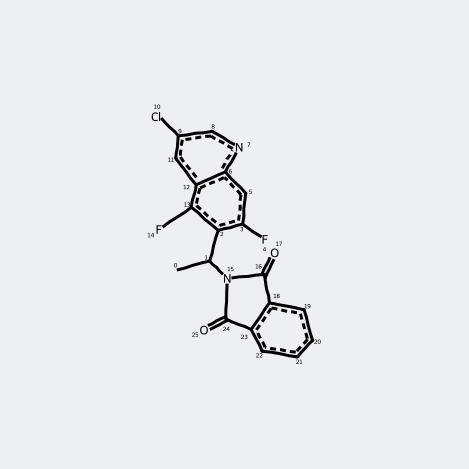 CC(c1c(F)cc2ncc(Cl)cc2c1F)N1C(=O)c2ccccc2C1=O